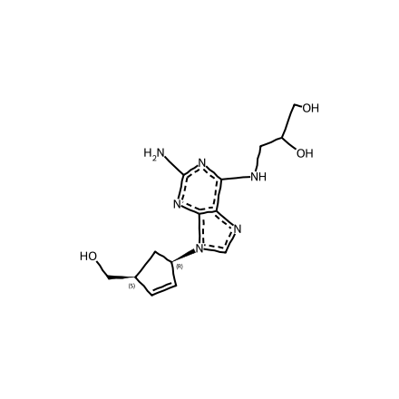 Nc1nc(NCC(O)CO)c2ncn([C@H]3C=C[C@@H](CO)C3)c2n1